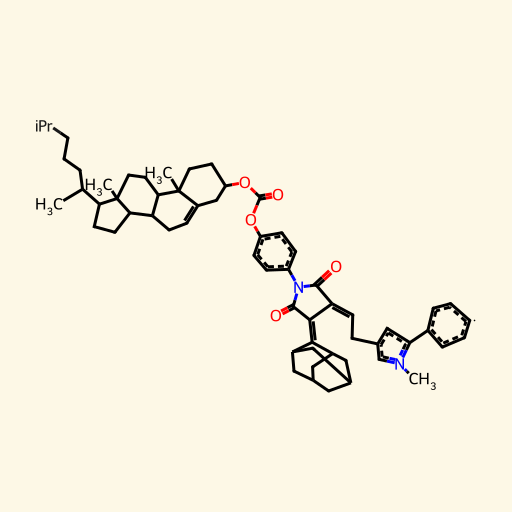 CC(C)CCCC(C)C1CCC2C3CC=C4CC(OC(=O)Oc5ccc(N6C(=O)C(=CCc7cc(-c8cc[c]cc8)n(C)c7)C(=C7C8CC9CC(C8)CC7C9)C6=O)cc5)CCC4(C)C3CCC12C